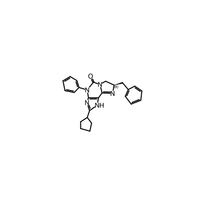 O=C1N2C[C@@H](Cc3ccccc3)N=C2c2[nH]c(C3CCCC3)nc2N1c1ccccc1